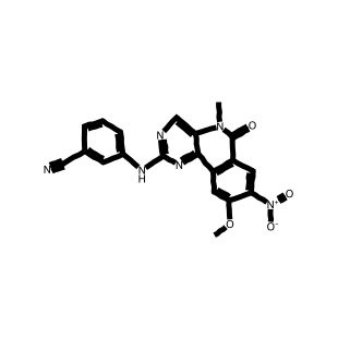 COc1cc2c(cc1[N+](=O)[O-])c(=O)n(C)c1cnc(Nc3cccc(C#N)c3)nc21